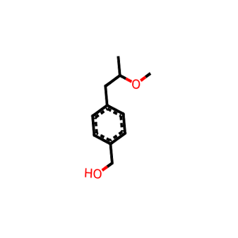 COC(C)Cc1ccc(CO)cc1